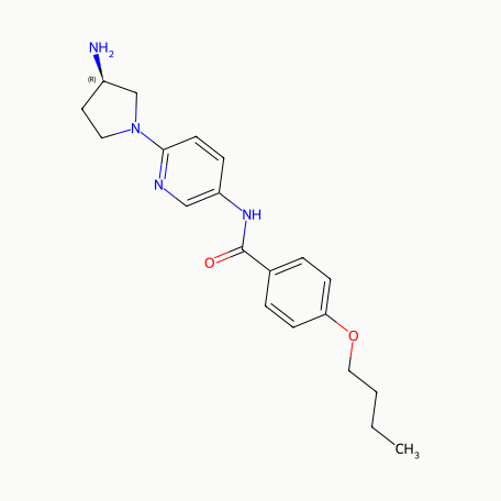 CCCCOc1ccc(C(=O)Nc2ccc(N3CC[C@@H](N)C3)nc2)cc1